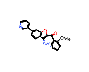 COc1ccccc1C(=O)c1oc2cc(-c3cccnc3)ccc2c1N